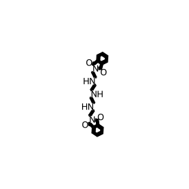 O=C1c2ccccc2C(=O)N1CCNCCNCCNCCN1C(=O)c2ccccc2C1=O